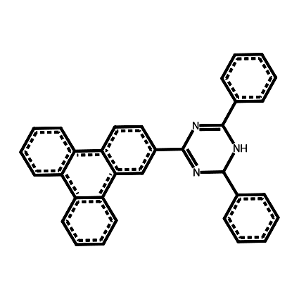 c1ccc(C2=NC(c3ccc4c5ccccc5c5ccccc5c4c3)=NC(c3ccccc3)N2)cc1